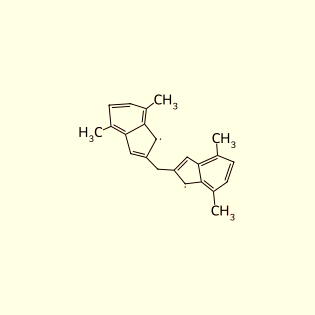 Cc1ccc(C)c2c1[CH]C(CC1=Cc3c(C)ccc(C)c3[CH]1)=C2